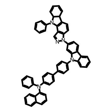 C1=CC2c3ccc4c(cnn4-c4ccc5c6ccccc6n(-c6ccc(-c7ccc(N(c8ccccc8)c8cccc9ccccc89)cc7)cc6)c5c4)c3N(c3ccccc3)C2C=C1